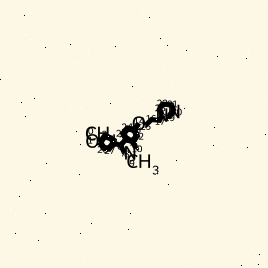 COc1ccc(C2CN(C)Cc3cc(OCCCN4C=NCCC4)ccc32)cc1